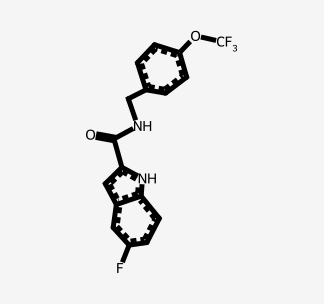 O=C(NCc1ccc(OC(F)(F)F)cc1)c1cc2cc(F)ccc2[nH]1